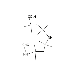 CC(C)(CC(C)(C)NC(C)(C)CC(C)(C)C(=O)O)NC=O